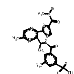 CCN(C)C(=O)c1cnc(-c2ncc(C)nc2C(C)NC(=O)c2cc(C(C)(F)F)cc(C(F)(F)F)c2)s1